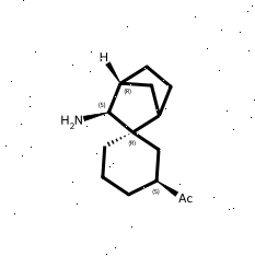 CC(=O)[C@H]1CCC[C@@]2(C1)C1CC[C@H](C1)[C@@H]2N